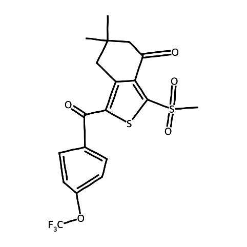 CC1(C)CC(=O)c2c(S(C)(=O)=O)sc(C(=O)c3ccc(OC(F)(F)F)cc3)c2C1